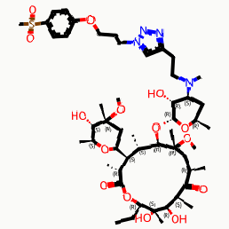 CC[C@H]1OC(=O)[C@H](C)[C@@H](C2C[C@@](C)(OC)[C@@H](O)[C@H](C)O2)[C@H](C)[C@@H](O[C@H]2O[C@H](C)C[C@H](N(C)CCc3cn(CCCOc4ccc(S(C)(=O)=O)cc4)nn3)[C@H]2O)[C@](C)(OC)C[C@@H](C)C(=O)[C@@H](C)[C@@H](O)[C@]1(C)O